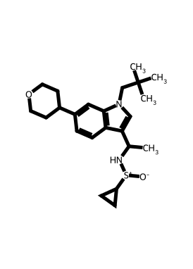 CC(N[S+]([O-])C1CC1)c1cn(CC(C)(C)C)c2cc(C3CCOCC3)ccc12